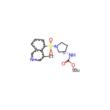 CCc1cncc2cccc(S(=O)(=O)N3CC[C@H](NC(=O)OC(C)(C)C)C3)c12